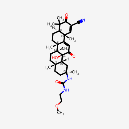 COCCNC(=O)N[C@@]1(C)CC[C@]2(C)CC[C@@]3(C)[C@]4(C)CC[C@H]5C(C)(C)C(=O)C(C#N)=C[C@]5(C)C4=CC(=O)[C@]3(O)[C@@H]2C1